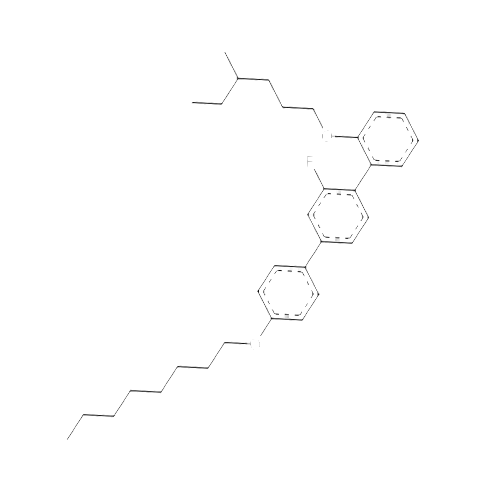 CCCCCCCCOc1ccc(-c2ccc(-c3ccccc3OCCCC(C)CC)c(F)c2)cc1